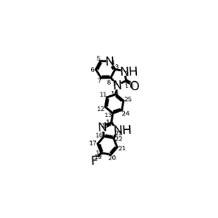 O=c1[nH]c2ncccc2n1-c1ccc(-c2nc3cc(F)ccc3[nH]2)cc1